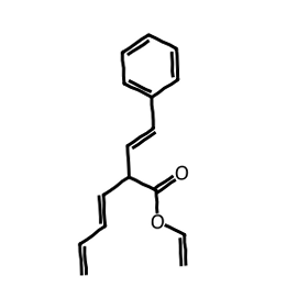 C=CC=CC(C=Cc1ccccc1)C(=O)OC=C